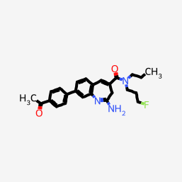 CCCN(CCCF)C(=O)C1=Cc2ccc(-c3ccc(C(C)=O)cc3)cc2N=C(N)C1